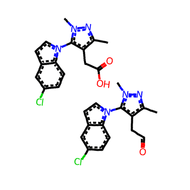 Cc1nn(C)c(-n2ccc3cc(Cl)ccc32)c1CC(=O)O.Cc1nn(C)c(-n2ccc3cc(Cl)ccc32)c1CC=O